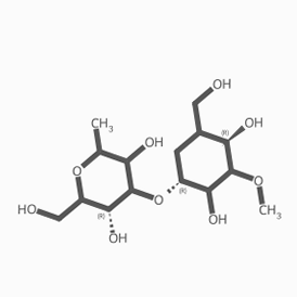 COC1C(O)[C@H](OC2C(O)C(C)OC(CO)[C@H]2O)CC(CO)[C@H]1O